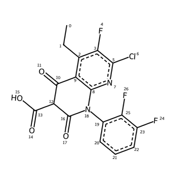 CCc1c(F)c(Cl)nc2c1C(=O)C(C(=O)O)C(=O)N2c1cccc(F)c1F